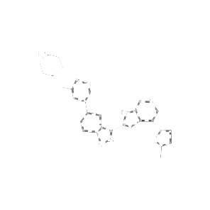 Cc1ccc(-c2cncc3[nH]c(-c4n[nH]c5ccc(-c6cncc(OC7CCNCC7)c6)cc45)cc23)s1